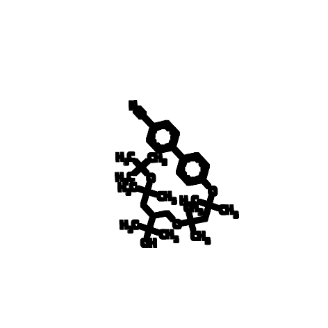 CC(C)(C)OC(C)(C)CC(COC(C)(C)CC(C)(C)Oc1ccc(-c2ccc(C#N)cc2)cc1)C(C)(C)O